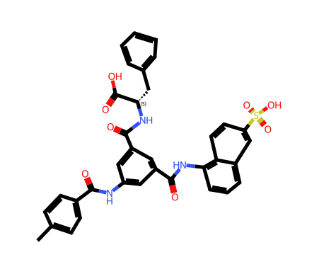 Cc1ccc(C(=O)Nc2cc(C(=O)Nc3cccc4cc(S(=O)(=O)O)ccc34)cc(C(=O)N[C@@H](Cc3ccccc3)C(=O)O)c2)cc1